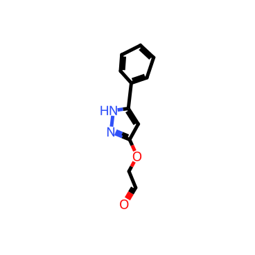 O=CCOc1cc(-c2ccccc2)[nH]n1